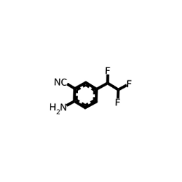 N#Cc1cc(C(F)C(F)F)ccc1N